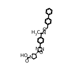 C/C(=N\OCc1ccc(-c2ccccc2)cc1)c1ccc(-c2noc([C@H]3CCN(C(=O)O)C3)n2)cc1